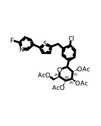 CC(=O)OC[C@H]1OC(c2ccc(Cl)c(Cc3ccc(-c4ccc(F)nc4)s3)c2)[C@H](OC(C)=O)[C@@H](OC(C)=O)[C@@H]1OC(C)=O